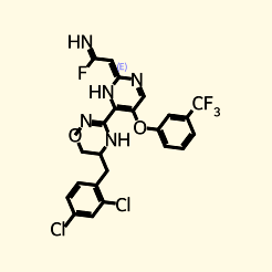 N=C(F)/C=C1/N=CC(Oc2cccc(C(F)(F)F)c2)=C(C2=NOCC(Cc3ccc(Cl)cc3Cl)N2)N1